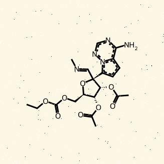 CCOC(=O)OC[C@H]1O[C@@](C=NC)(c2ccc3c(N)ncnn23)[C@H](OC(C)=O)[C@@H]1OC(C)=O